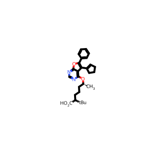 C[C@H](CCCC(C(=O)O)C(C)(C)C)Oc1ncnc2oc(-c3ccccc3)c(C3=CCCC3)c12